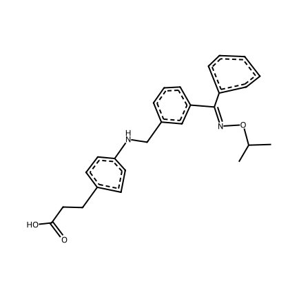 CC(C)O/N=C(\c1ccccc1)c1cccc(CNc2ccc(CCC(=O)O)cc2)c1